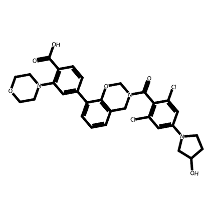 O=C(O)c1ccc(-c2cccc3c2OCN(C(=O)c2c(Cl)cc(N4CCC(O)C4)cc2Cl)C3)cc1N1CCOCC1